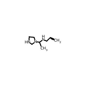 C=CCNC(C)N1CCNC1